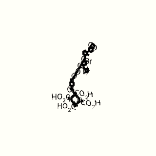 Cc1c(COc2cc(OCCOCCOCCN3CCN(C(=O)CCC(C(=O)O)N4CCN(CC(=O)O)CCN(CC(=O)O)CCN(CC(=O)O)CC4)CC3)c(CN3CCC[C@H]3C)cc2Br)cccc1-c1ccc2c(c1)OCCO2